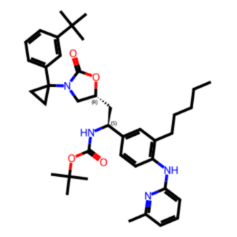 CCCCCc1cc([C@H](C[C@@H]2CN(C3(c4cccc(C(C)(C)C)c4)CC3)C(=O)O2)NC(=O)OC(C)(C)C)ccc1Nc1cccc(C)n1